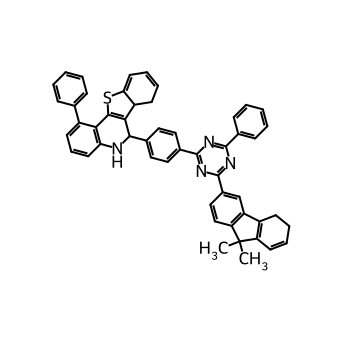 CC1(C)C2=C(CCC=C2)c2cc(-c3nc(-c4ccccc4)nc(-c4ccc(C5Nc6cccc(-c7ccccc7)c6C6=C5C5CC=CC=C5S6)cc4)n3)ccc21